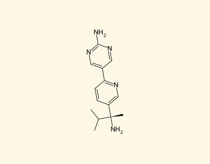 CC(C)[C@@](C)(N)c1ccc(-c2cnc(N)nc2)nc1